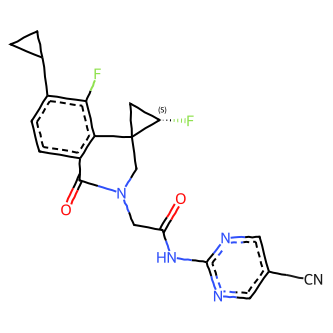 N#Cc1cnc(NC(=O)CN2CC3(C[C@@H]3F)c3c(ccc(C4CC4)c3F)C2=O)nc1